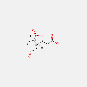 O=C(O)CC1OC(=O)[C@@H]2CCC(=O)C[C@H]12